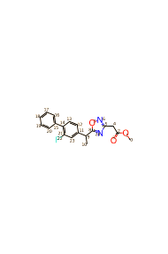 COC(=O)Cc1noc(C(C)c2ccc(-c3ccccc3)c(F)c2)n1